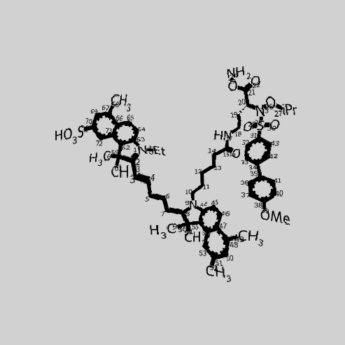 CC[N+]1=C(/C=C/C=C/C=C2\N(CCCCCC(=O)NCC[C@H](C(=O)ON)N(OC(C)C)S(=O)(=O)c3ccc(-c4ccc(OC)cc4)cc3)c3ccc4c(C)cc(C)cc4c3C2(C)C)C(C)(C)c2c1ccc1c(C)cc(S(=O)(=O)O)cc21